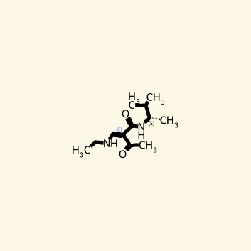 CCN/C=C(\C(C)=O)C(=O)N[C@@H](C)C(C)C